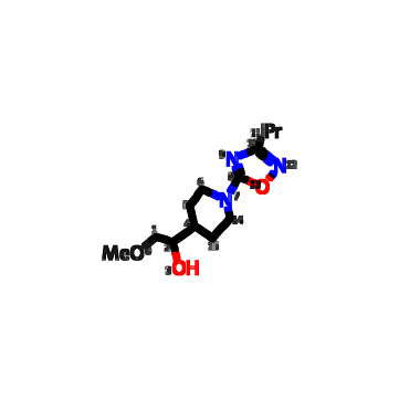 COCC(O)C1CCN(c2nc(C(C)C)no2)CC1